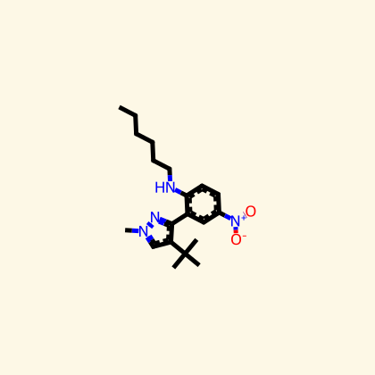 CCCCCCNc1ccc([N+](=O)[O-])cc1-c1nn(C)cc1C(C)(C)C